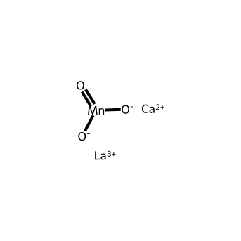 [Ca+2].[La+3].[O]=[Mn]([O-])[O-]